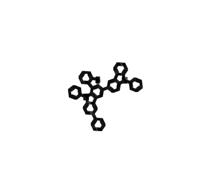 c1ccc(-c2ccc3c(c2)c2cc(-c4ccc5c(c4)c4ccccc4n5-c4ccccc4)c4sc5ccccc5c4c2n3-c2ccccc2)cc1